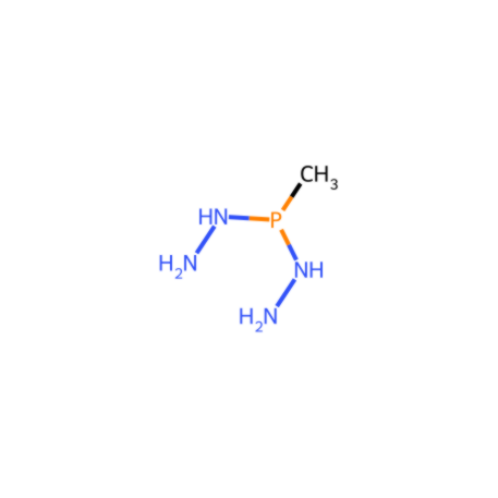 CP(NN)NN